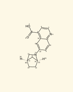 O=C(O)c1ccnc2ccc(N3C[C@@H]4CC[C@H]3C4)cc12